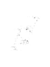 CCCCCCCCCCCOC(=O)CCCCCN(CCCCCCCC(=O)OC(CCCCCCCC)CCCCCCCC)CCN(C)C(=O)CCC(=O)N(C)CCN(CCCCCCCC(=O)OC(CCCCCCCC)CCCCCCCC)CCCCCC(=O)OCCCCCCCCCCC